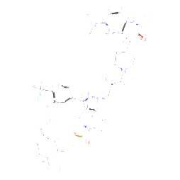 CN(C)c1ccc2c(n1)n(C1CCN(CC(O)Cn3nc(-c4ccc(C(F)(F)F)c(SCCN5CCC(O)CC5)c4)c4c3CCN(S(C)(=O)=O)C4)CC1)c(=O)n2C